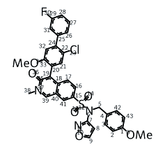 COc1ccc(CN(c2ccon2)S(=O)(=O)c2ccc3c(-c4cc(Cl)c(-c5cccc(F)c5)cc4OC)c(=O)n(C)cc3c2)cc1